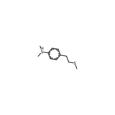 CSCCc1ccc([SH](C)C)cc1